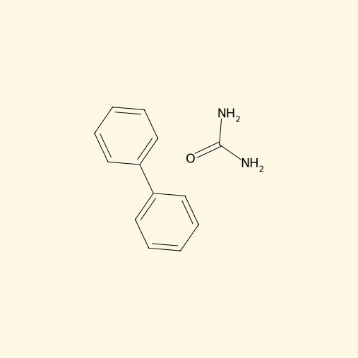 NC(N)=O.c1ccc(-c2ccccc2)cc1